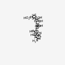 N#C[C@@]1(c2ccc3c(N)ncnn23)O[C@H](COP(=O)(O)OC[C@H]2O[C@@H]([n+]3cccc(C(=O)O)c3)[C@H](O)[C@@H]2O)[C@@H](O)[C@H]1O